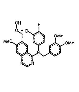 COc1cc2ncnc(N(Cc3ccc(OC)c(OC)c3)c3ccc(F)c(Cl)c3)c2cc1NOO